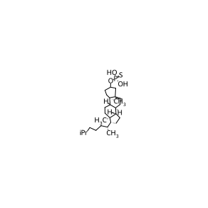 CC(C)CCC[C@@H](C)[C@H]1CC[C@H]2[C@@H]3CC=C4CC(OP(O)(O)=S)CC[C@]4(C)[C@H]3CC[C@]12C